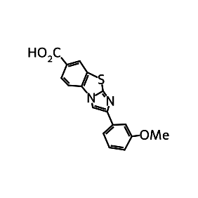 COc1cccc(-c2cn3c(n2)sc2cc(C(=O)O)ccc23)c1